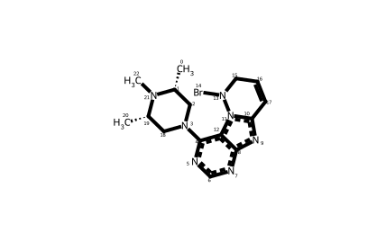 C[C@@H]1CN(c2ncnc3nc4n(c23)N(Br)CC=C4)C[C@H](C)N1C